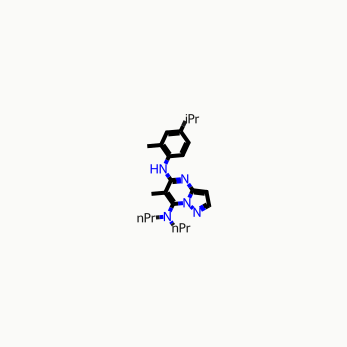 CCCN(CCC)c1c(C)c(Nc2ccc(C(C)C)cc2C)nc2ccnn12